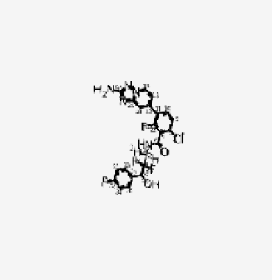 [2H]C([2H])(NC(=O)c1c(Cl)ccc(-c2ccn3nc(N)nc3c2)c1F)C(F)(F)C(O)c1ccc(F)cc1